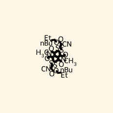 [C-]#[N+]C(C(=O)OCC(CC)CCCC)=c1sc2c(s1)c1c(=O)n(C)c(=O)c3c4sc(=C(C#N)C(=O)OCC(CC)CCCC)sc4c4c(=O)n(C)c(=O)c2c4c31